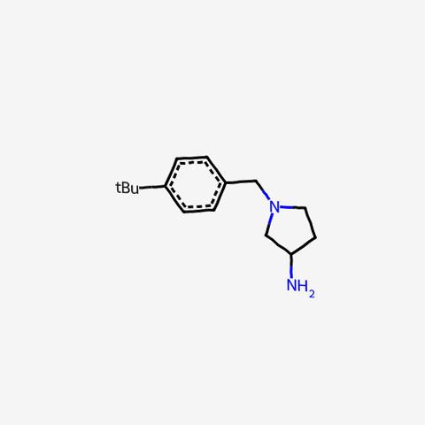 CC(C)(C)c1ccc(CN2CCC(N)C2)cc1